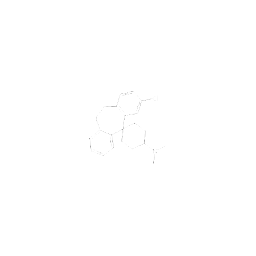 CN(C)C1CCC2(CC1)c1ccccc1CCc1ccc(Cl)cc12